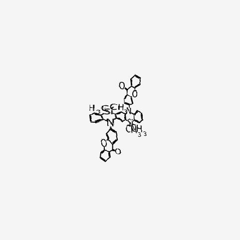 C[Si]1(C)c2ccccc2N(c2ccc3c(=O)c4ccccc4oc3c2)c2cc3c(cc21)N(c1ccc2c(=O)c4ccccc4oc2c1)c1ccccc1[Si]3(C)C